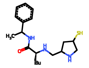 CCC(C)[C@H](NCC1CC(S)CN1)C(=O)NC(C)c1ccccc1